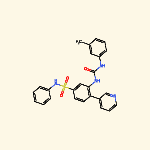 O=C(Nc1cccc(C(F)(F)F)c1)Nc1cc(S(=O)(=O)Nc2ccccc2)ccc1-c1cccnc1